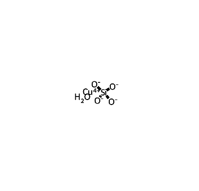 O.[Cu+4].[O-][Si]([O-])([O-])[O-]